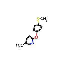 CSc1ccc(Oc2ccc(C)cn2)cc1